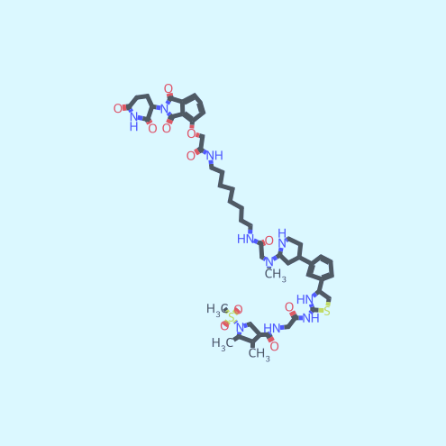 CC1C(C(=O)NCC(=O)NC2NC(c3cccc(C4CCNC(N(C)CC(=O)NCCCCCCCCNC(=O)COc5cccc6c5C(=O)N(C5CCC(=O)NC5=O)C6=O)C4)c3)CS2)CN(S(C)(=O)=O)C1C